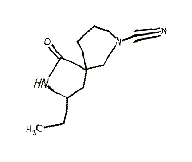 CCC1CC2(CCN(C#N)C2)C(=O)N1